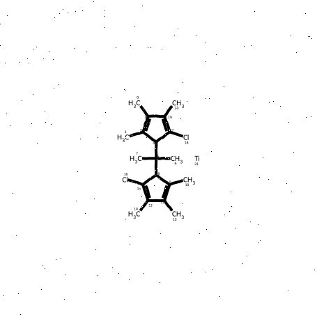 CC1=C(C)C(C(C)(C)C2C(C)=C(C)C(C)=C2Cl)C(Cl)=C1C.[Ti]